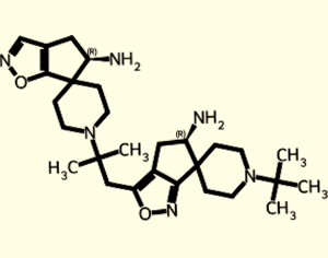 CC(C)(C)N1CCC2(CC1)c1noc(CC(C)(C)N3CCC4(CC3)c3oncc3C[C@H]4N)c1C[C@H]2N